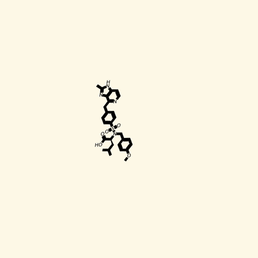 COc1ccc(CN([C@@H](CC(C)C)C(=O)O)S(=O)(=O)c2ccc(Cc3nccc4[nH]c(C)nc34)cc2)cc1